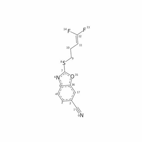 N#Cc1ccc2nc(SCCC=C(F)F)oc2c1